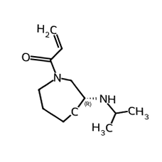 C=CC(=O)N1CCCC[C@@H](NC(C)C)C1